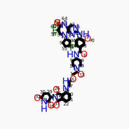 COc1cc(C(=O)NC2CCN(C(=O)COCCNc3cccc4c3C(=O)N(C3CCC(=O)NC3=O)C4=O)CC2)c(F)cc1Nc1ncc2c(n1)N(C1CCCC1)CC(F)(F)C(=O)N2C